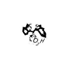 O=C(O)CSC(c1scc2ccccc12)c1scc2ccccc12